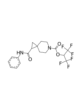 O=C(Nc1ccccc1)C1CC12CCN(C(=O)OC(C(F)(F)F)C(F)(F)F)CC2